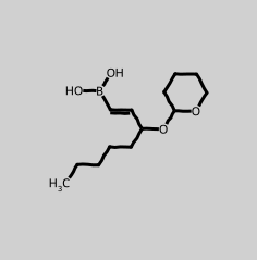 CCCCCC(C=CB(O)O)OC1CCCCO1